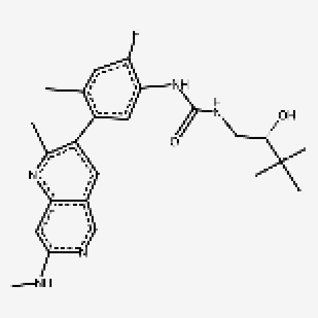 CNc1cc2nc(C)c(-c3cc(NC(=O)NC[C@H](O)C(C)(C)C)c(F)cc3C)cc2cn1